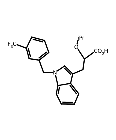 CC(C)OC(Cc1cn(Cc2cccc(C(F)(F)F)c2)c2ccccc12)C(=O)O